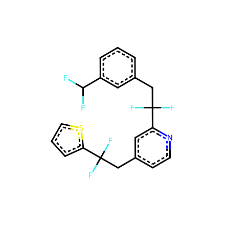 FC(F)c1cccc(CC(F)(F)c2cc(CC(F)(F)c3cccs3)ccn2)c1